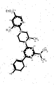 CCOC(=O)c1cnc(N2CCN(c3cc(C4=CC=C(F)CC4)nc(N(C)C)n3)[C@H](C)C2)c(C)c1